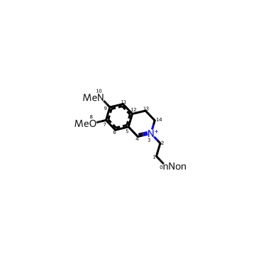 CCCCCCCCCCC[N+]1=Cc2cc(OC)c(NC)cc2CC1